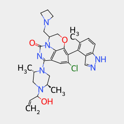 C=CC(O)N1C[C@H](C)N(c2nc(=O)n3c4c(c(-c5c(C)ccc6[nH]ncc56)c(Cl)cc24)OCC3CN2CCC2)C[C@H]1C